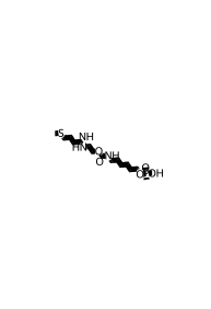 CSCCCC(=N)NCCOC(=O)NCCCCCCOP(C)(=O)O